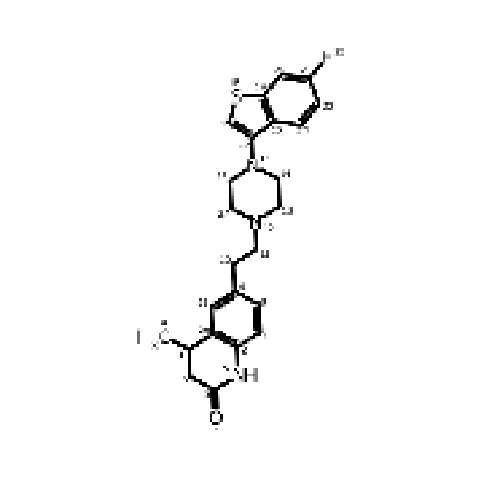 CC1CC(=O)Nc2ccc(CCN3CCN(c4csc5cc(F)ccc45)CC3)cc21